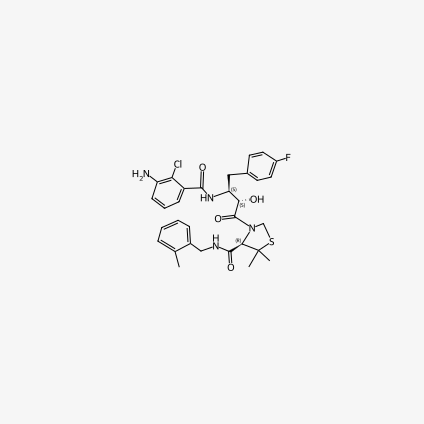 Cc1ccccc1CNC(=O)[C@H]1N(C(=O)[C@@H](O)[C@H](Cc2ccc(F)cc2)NC(=O)c2cccc(N)c2Cl)CSC1(C)C